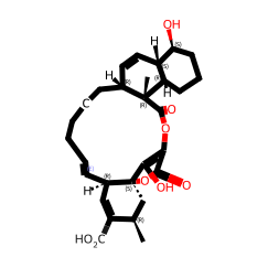 C[C@@H]1C[C@@]23OC(=O)C(=C2O)OC(=O)[C@@]2(C)[C@@H]4CCC[C@H](O)[C@H]4C=C[C@H]2CCCC/C=C/[C@@H]3C=C1C(=O)O